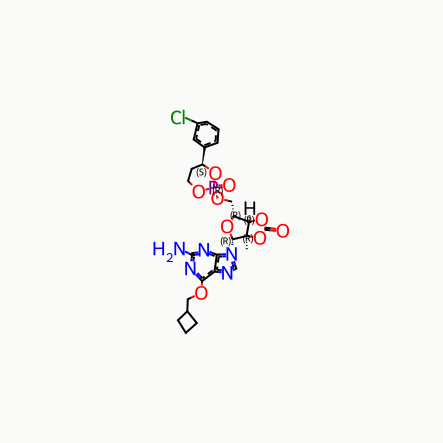 C[C@@]12OC(=O)O[C@@H]1[C@@H](CO[P@@]1(=O)OCC[C@@H](c3cccc(Cl)c3)O1)O[C@H]2n1cnc2c(OCC3CCC3)nc(N)nc21